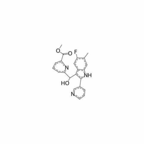 COC(=O)c1cccc(C(O)c2c(-c3cccnc3)[nH]c3cc(C)c(F)cc23)n1